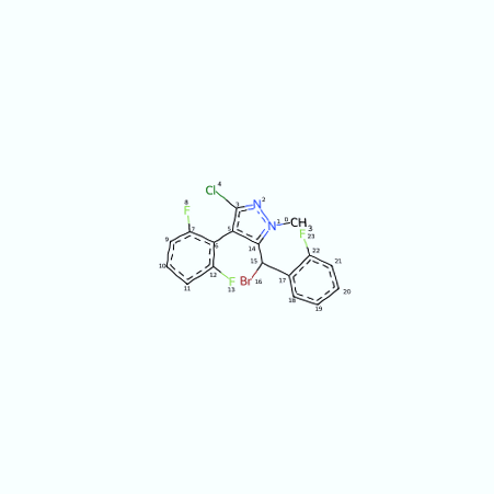 Cn1nc(Cl)c(-c2c(F)cccc2F)c1C(Br)c1ccccc1F